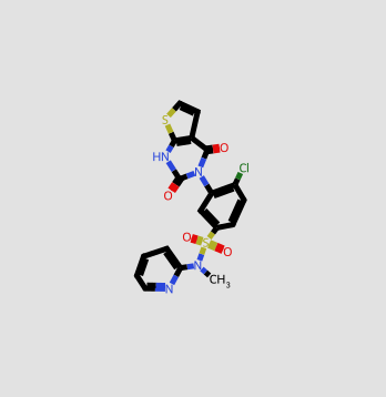 CN(c1ccccn1)S(=O)(=O)c1ccc(Cl)c(-n2c(=O)[nH]c3sccc3c2=O)c1